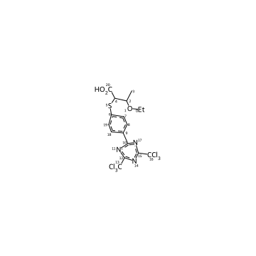 CCOC(C)C(Sc1ccc(-c2nc(C(Cl)(Cl)Cl)nc(C(Cl)(Cl)Cl)n2)cc1)C(=O)O